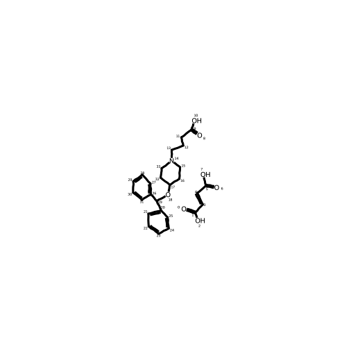 O=C(O)C=CC(=O)O.O=C(O)CCCN1CCC(OC(c2ccccc2)c2ccccc2)CC1